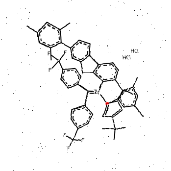 CCC1C=C(C(C)(C)C)C=[C]1[Zr](=[C](c1ccc(C(F)(F)F)cc1)c1ccc(C(F)(F)F)cc1)[c]1c(-c2c(C)cc(C)cc2C)ccc2c1Cc1cc(-c3c(C)cc(C)cc3C)ccc1-2.Cl.Cl